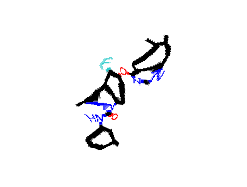 Cc1cccc(NC(=O)n2c(C)cc3c(F)c(Oc4ncnc5cc(C)c(C)cc45)ccc32)c1